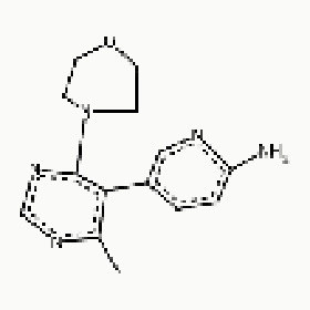 Cc1ncnc(N2CCOCC2)c1-c1ccc(N)nc1